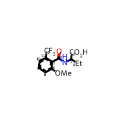 CCC(NC(=O)c1c(OC)cccc1C(F)(F)F)C(=O)O